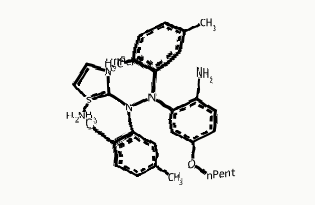 CCCCCOc1ccc(N)c(N(c2cc(C)ccc2C)N(C2=S(N)C=CN2CCCCC)c2cc(C)ccc2C)c1